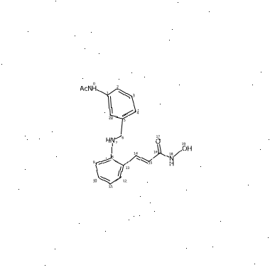 CC(=O)Nc1cccc(CNc2ccccc2C=CC(=O)NO)c1